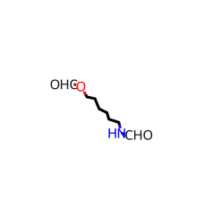 O=CNCCCCCCOC=O